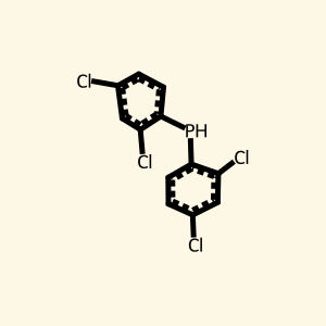 Clc1ccc(Pc2ccc(Cl)cc2Cl)c(Cl)c1